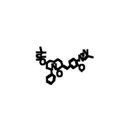 COc1cc(/C=C2\CCC3CC(O[Si](C)(C)C(C)(C)C)CC(c4ccccc4)N3C2=O)ccc1-n1cnc(C)c1